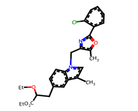 CCOC(=O)C(Cc1ccc2c(c1)c(C)cn2Cc1nc(-c2ccccc2Cl)oc1C)OCC